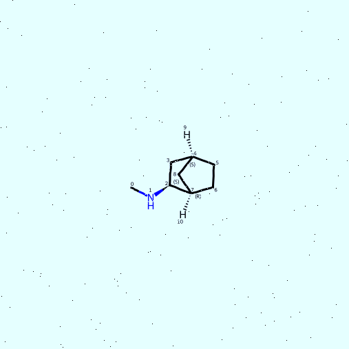 CN[C@H]1C[C@H]2CC[C@@H]1C2